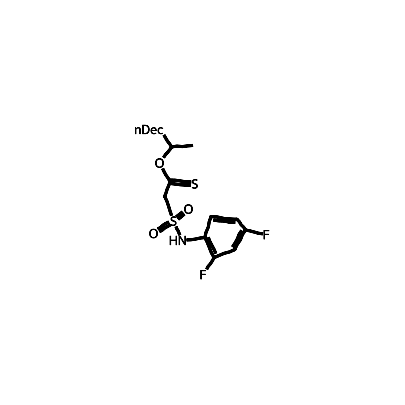 CCCCCCCCCCC(C)OC(=S)CS(=O)(=O)Nc1ccc(F)cc1F